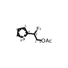 CC(=O)OCC(F)c1cccs1